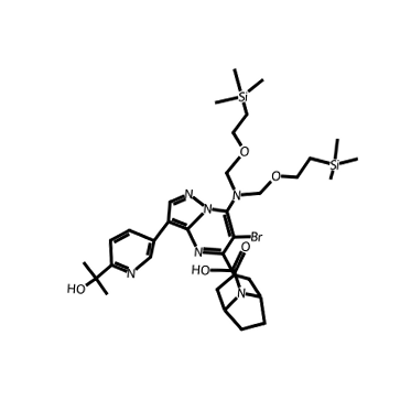 CC(C)(O)c1ccc(-c2cnn3c(N(COCC[Si](C)(C)C)COCC[Si](C)(C)C)c(Br)c(C4CC5CCC(C4)N5C(=O)O)nc23)cn1